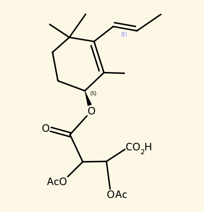 C/C=C/C1=C(C)[C@@H](OC(=O)C(OC(C)=O)C(OC(C)=O)C(=O)O)CCC1(C)C